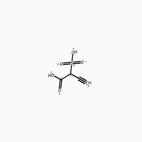 C#CC(C(=O)O)S(=O)(=O)O